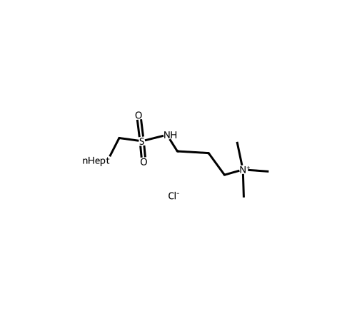 CCCCCCCCS(=O)(=O)NCCC[N+](C)(C)C.[Cl-]